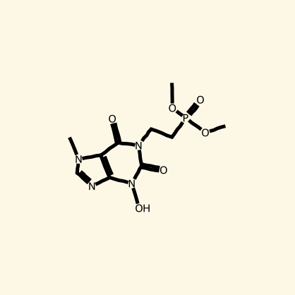 COP(=O)(CCn1c(=O)c2c(ncn2C)n(O)c1=O)OC